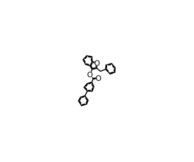 O=C(Oc1c(Cc2ccccc2)oc2ccccc12)c1ccc(-c2ccccc2)cc1